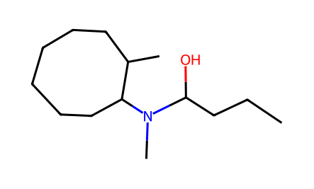 CCCC(O)N(C)C1CCCCCCC1C